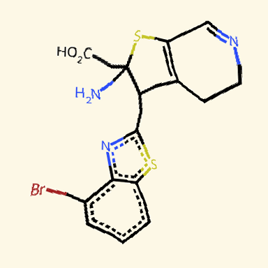 NC1(C(=O)O)SC2=C(CCN=C2)C1c1nc2c(Br)cccc2s1